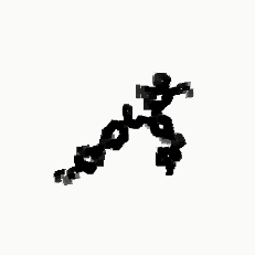 Cn1cc(O[C@@H]2C[C@@H](CCC(=O)N3CCN(c4ncc(C(F)(F)F)cn4)CC3)N(c3cc(C(F)(F)F)c(=O)[nH]n3)C2)cn1